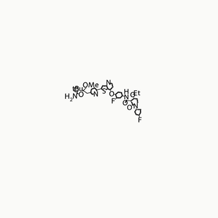 CCOc1ccn(-c2ccc(F)cc2)c(=O)c1C(=O)Nc1ccc(Oc2ccnc3cc(-c4ccc(CC(COC)(OC(N)=O)C(C)(C)C)cn4)sc23)c(F)c1